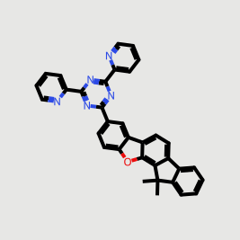 CC1(C)c2ccccc2-c2ccc3c(oc4ccc(-c5nc(-c6ccccn6)nc(-c6ccccn6)n5)cc43)c21